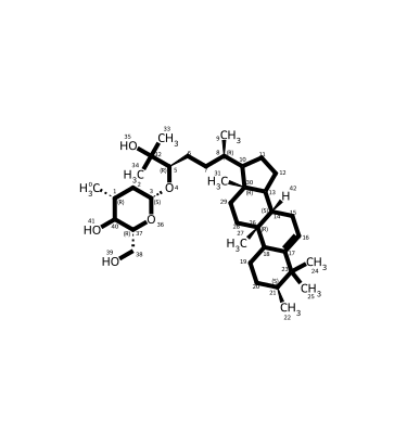 C[C@@H]1C[C@H](O[C@H](CC[C@@H](C)C2CCC3[C@@H]4CC=C5C(CC[C@H](C)C5(C)C)[C@]4(C)CC[C@]23C)C(C)(C)O)O[C@H](CO)C1O